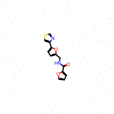 O=C(NCc1ccc(-c2cscn2)o1)c1ccco1